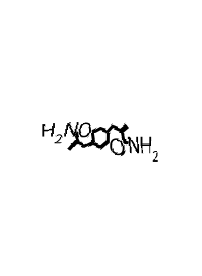 C=C(CC1CCC(CC(=C)C(N)=O)CC1)C(N)=O